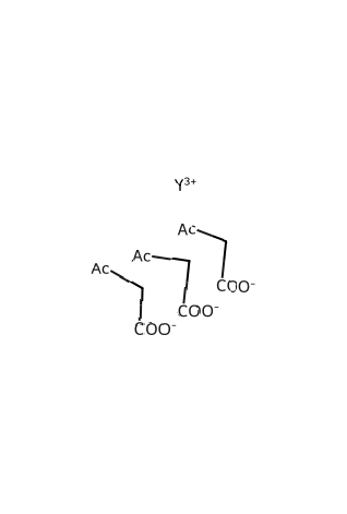 CC(=O)CC(=O)[O-].CC(=O)CC(=O)[O-].CC(=O)CC(=O)[O-].[Y+3]